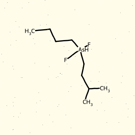 CCCC[AsH](F)(F)CCC(C)C